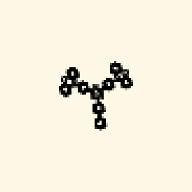 c1ccc(-c2ccc(-c3nc(-c4ccc(N5c6ccccc6Oc6ccccc65)cc4)nc(-c4ccc(N5c6ccccc6Oc6ccccc65)cc4)n3)cc2)cc1